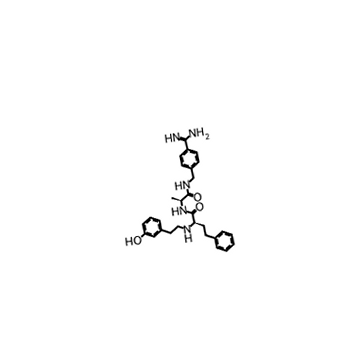 C[C@H](NC(=O)[C@@H](CCc1ccccc1)NCCc1cccc(O)c1)C(=O)NCc1ccc(C(=N)N)cc1